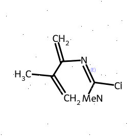 C=C(C)C(=C)/N=C(/Cl)NC